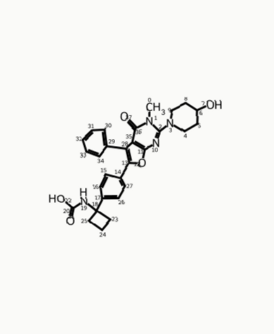 Cn1c(N2CCC(O)CC2)nc2oc(-c3ccc(C4(NC(=O)O)CCC4)cc3)c(-c3ccccc3)c2c1=O